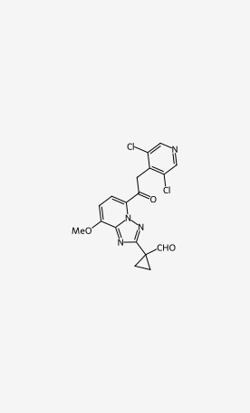 COc1ccc(C(=O)Cc2c(Cl)cncc2Cl)n2nc(C3(C=O)CC3)nc12